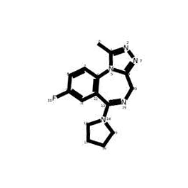 Cc1nnc2n1-c1ccc(F)cc1C(N1CCCC1)=NC2